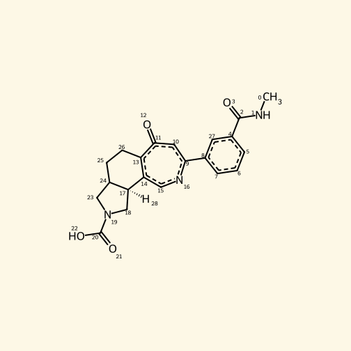 CNC(=O)c1cccc(-c2cc(=O)c3c(cn2)[C@H]2CN(C(=O)O)CC2CC3)c1